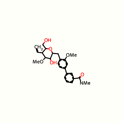 C=CC1C(CO)OC(Cc2ccc(-c3cccc(C(=O)NC)c3)cc2OC)C(O)C1OC